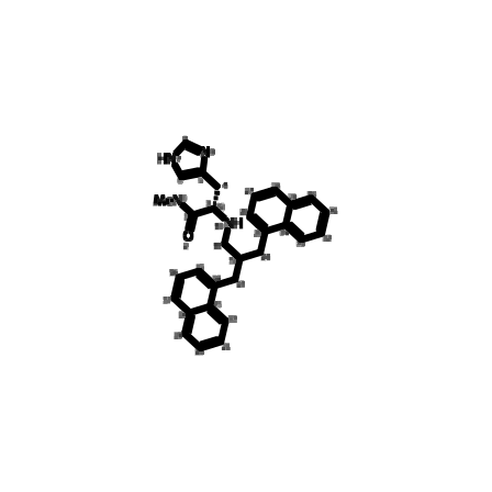 CNC(=O)[C@H](Cc1c[nH]cn1)NCC(Cc1cccc2ccccc12)Cc1cccc2ccccc12